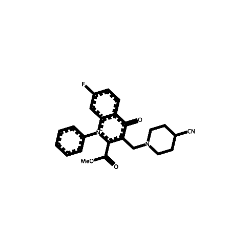 COC(=O)c1c(CN2CCC(C#N)CC2)c(=O)c2ccc(F)cc2n1-c1ccccc1